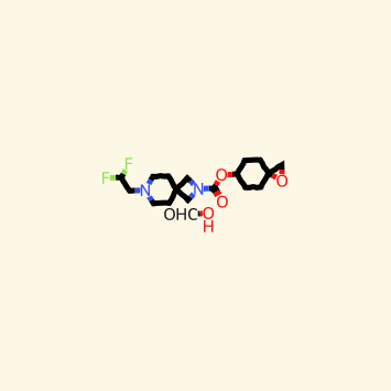 O=C(OC1CCC2(CC1)CO2)N1CC2(CCN(CC(F)F)CC2)C1.O=CO